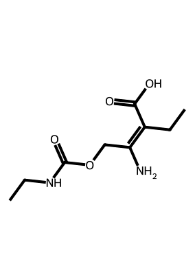 CCNC(=O)OCC(N)=C(CC)C(=O)O